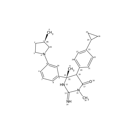 C[C@@H]1CCN(c2cccc([C@@]3(C)NC(=N)N(C)C(=O)C3c3ccc(C4CC4)cc3)c2)C1